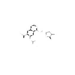 CC(C)Oc1cc2c(OC[C@@H]3CC(F)C(=O)N3)nccc2cc1C(N)=O